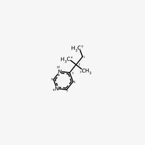 CCC(C)(C)c1ccncn1